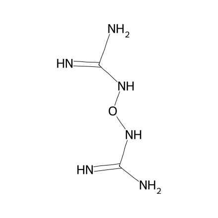 N=C(N)NONC(=N)N